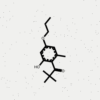 CCCOc1cc(C)c(C(=O)C(C)(C)C)c(O)c1